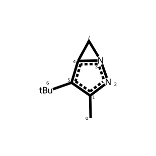 Cc1nn2c(c1C(C)(C)C)C2